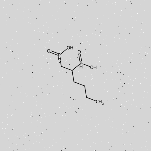 CCCCC(C[PH](=O)O)[PH](=O)O